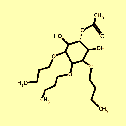 CCCCOC1C(OCCCC)C(O)[C@H](OC(C)=O)[C@@H](O)C1OCCCC